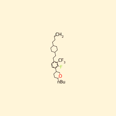 C=CCCC1CCC(CCc2ccc(C3CCC(CCCC)OC3)c(F)c2C(F)(F)F)CC1